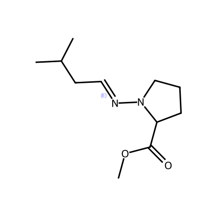 COC(=O)C1CCCN1/N=C/CC(C)C